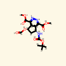 COC(=O)c1nnc(C(=O)OC)c2c1[C@@H](OC=O)C[C@H]2NC(=O)OC(C)(C)C